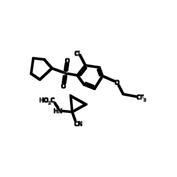 N#CC1(NC(=O)O)CC1.O=S(=O)(c1ccc(OCC(F)(F)F)cc1Cl)C1CCCC1